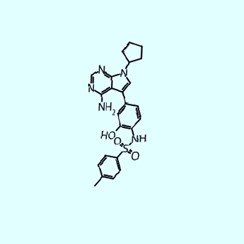 Cc1ccc(S(=O)(=O)Nc2ccc(-c3cn(C4CCCC4)c4ncnc(N)c34)cc2O)cc1